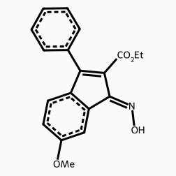 CCOC(=O)C1=C(c2ccccc2)c2ccc(OC)cc2C1=NO